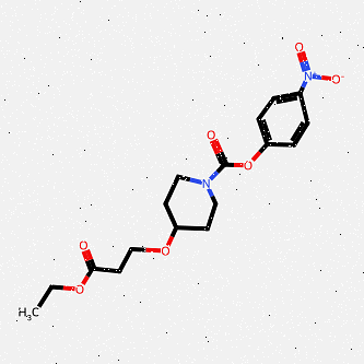 CCOC(=O)CCOC1CCN(C(=O)Oc2ccc([N+](=O)[O-])cc2)CC1